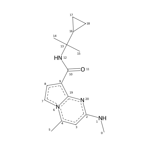 CNc1cc(C)n2ccc(C(=O)NC(C)(C)C3CC3)c2n1